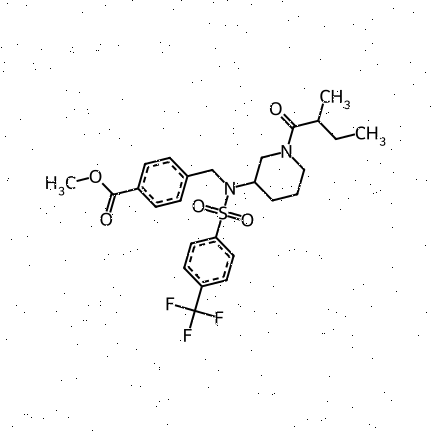 CCC(C)C(=O)N1CCCC(N(Cc2ccc(C(=O)OC)cc2)S(=O)(=O)c2ccc(C(F)(F)F)cc2)C1